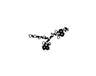 COCCOCCOCCOCCN(CCCN(C)CCN1C(=O)c2cccc3c(-n4ccnc4)ccc(c23)C1=O)CCN1C(=O)c2cccc3cccc(c23)C1=O